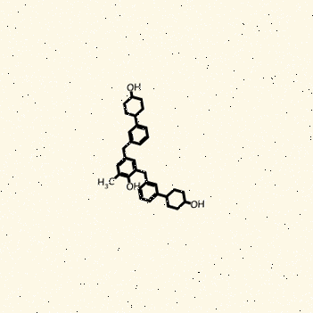 Cc1cc(Cc2cccc(C3CCC(O)CC3)c2)cc(Cc2cccc(C3CCC(O)CC3)c2)c1O